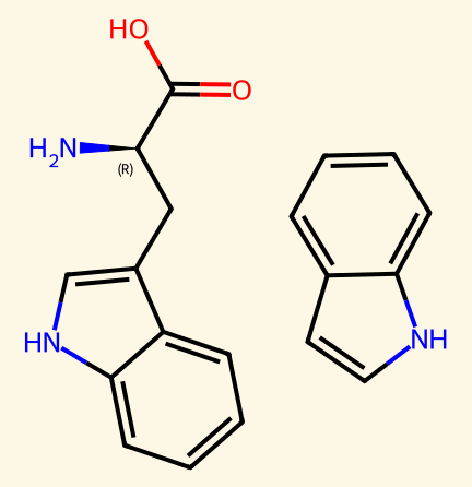 N[C@H](Cc1c[nH]c2ccccc12)C(=O)O.c1ccc2[nH]ccc2c1